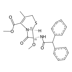 COC(=O)C1=C(C)CS[C@@H]2N1C(=O)[C@]2(NC(=O)C(c1ccccc1)c1ccccc1)OC